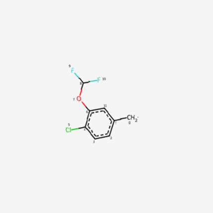 [CH2]c1ccc(Cl)c(OC(F)F)c1